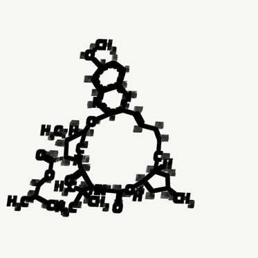 COc1ccc2nc3c(nc2c1)O[C@H]1CN(C(=O)[C@H](C(C)(C)C)NC(=O)O[C@@H]2C[C@H](C)C[C@H]2CCC/C=C/3)[C@H](C(=O)OCC(C)C)[C@@H]1C